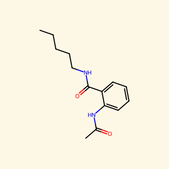 CCCCCNC(=O)c1ccccc1NC(C)=O